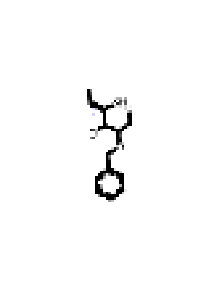 C/C=C(\S)C(O)C(CO)OCc1ccccc1